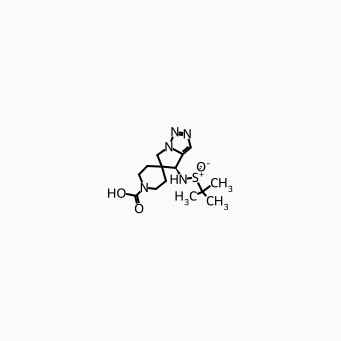 CC(C)(C)[S@@+]([O-])N[C@@H]1c2cnnn2CC12CCN(C(=O)O)CC2